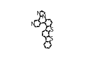 c1ccc2c(c1)sc1c2ccc2c1sc1ccc3c(c4ccncc4c4nccn34)c12